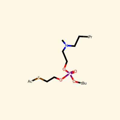 CC(=O)SCCOP(=O)(OCCN(C)CCC(C)C)OC(C)(C)C